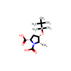 C[C@H]1[C@@H](O[Si](C)(C)C(C)(C)C)C[C@@H](C(=O)O)N1C(=O)O